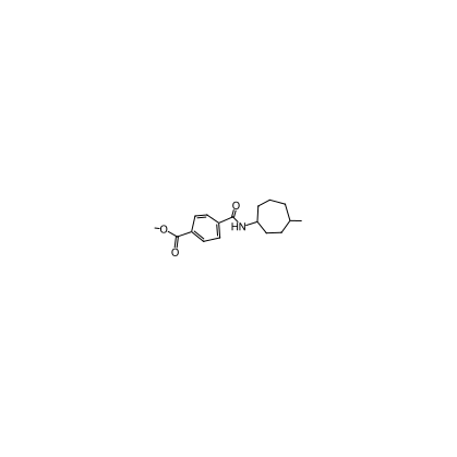 COC(=O)c1ccc(C(=O)NC2CCCC(C)CC2)cc1